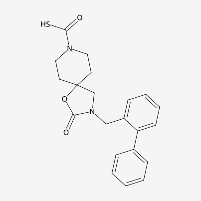 O=C(S)N1CCC2(CC1)CN(Cc1ccccc1-c1ccccc1)C(=O)O2